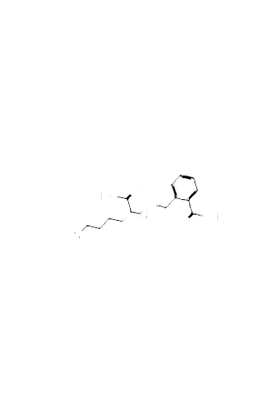 NCCCC[C@H](NOCc1ccccc1C(=O)O)C(=O)O